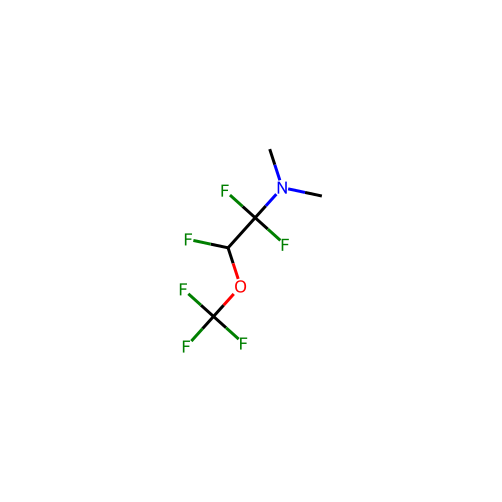 CN(C)C(F)(F)C(F)OC(F)(F)F